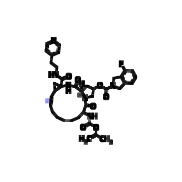 C=C(C)OC(=O)NC1CCCCC/C=C\C2CC2(C(=O)NCCc2ccncc2)NC(=O)[C@@H]2CC(OC(=O)N3Cc4cccc(F)c4C3)CN2C1=O